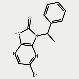 CC(c1ccccc1)n1c(=O)[nH]c2ncc(Br)nc21